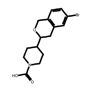 O=C(O)N1CCC(C2Cc3cc(Br)ccc3CO2)CC1